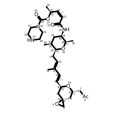 CC(=O)C[C@@H]1C[C@@]2(CO2)C[C@@H](/C=C/C(C)=C/C[C@@H]2O[C@H](C)[C@H](NC(=O)/C=C\[C@H](C)OC(=O)N3CCNCC3)C[C@@H]2C)O1